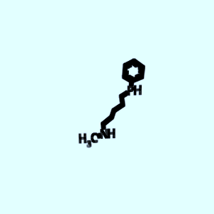 CNCCCCCPc1ccccc1